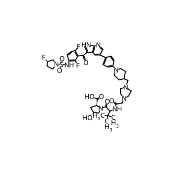 CC(C)(C)C(NC(=O)CN1CCN(CC2CCN(c3ccc(-c4cnc5[nH]cc(C(=O)c6c(F)ccc(NS(=O)(=O)N7CC[C@@H](F)C7)c6F)c5c4)cc3)CC2)CC1)C(=O)N1C[C@H](O)C[C@H]1C(=O)O